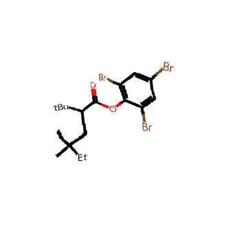 CCC(C)(C)CC(C(=O)Oc1c(Br)cc(Br)cc1Br)C(C)(C)C